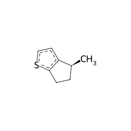 C[C@H]1CCc2sccc21